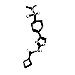 CN(C)S(=O)(=O)c1ccc(-c2csc(NC(=O)C3CCC3)n2)cc1